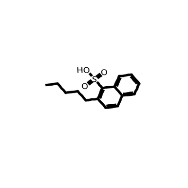 CCCCCc1ccc2ccccc2c1S(=O)(=O)O